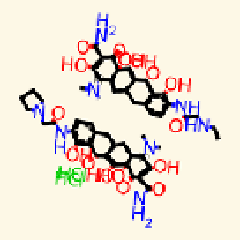 CCNCC(=O)Nc1ccc2c(c1O)C(=O)C1=C(O)C3(O)C(=O)C(C(N)=O)=C(O)[C@@H](N(C)C)C3CC1C2.CN(C)[C@@H]1C(O)=C(C(N)=O)C(=O)C2(O)C(O)=C3C(=O)c4c(ccc(NC(=O)CN5CCCC5)c4O)CC3CC12.Cl.Cl